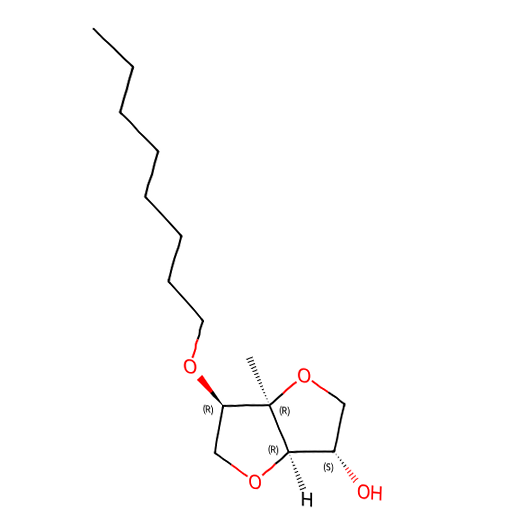 CCCCCCCCO[C@@H]1CO[C@@H]2[C@@H](O)CO[C@@]21C